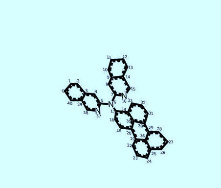 c1ccc2cc(N(c3cc4ccccc4cn3)c3ccc4c5cccc6cccc(c7cccc3c74)c65)ncc2c1